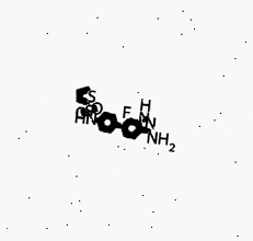 Nc1n[nH]c2c(F)c(-c3ccc(NS(=O)(=O)c4cccs4)cc3)ccc12